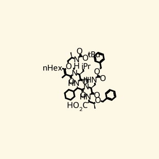 CCCCCC/C(OC[C@@H](C)NC(=O)OC(C)(C)C)=C(\C)C(=O)N(C)[C@@H](CC(C)C)C(=O)N[C@H](C(=O)N[C@@H](CNC(=O)OCc1ccccc1)C(=O)N[C@H](C(=O)O)[C@H](C)OCc1ccccc1)C1CCCCC1